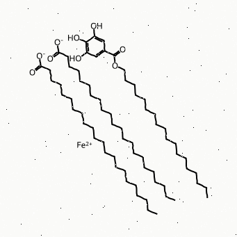 CCCCCCCCCCCCCCCCCCCCCC(=O)[O-].CCCCCCCCCCCCCCCCCCCCCC(=O)[O-].CCCCCCCCCCCCCCCCCCOC(=O)c1cc(O)c(O)c(O)c1.[Fe+2]